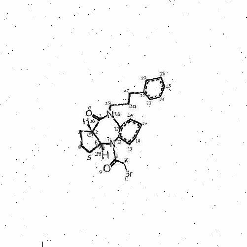 O=C1[C@H]2CCC[C@H]2N(C(=O)CBr)c2ccccc2N1CCCc1ccccc1